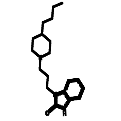 CCCCC1CCN(CCCn2c(=O)[nH]c3ccccc32)CC1